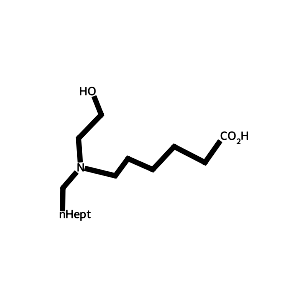 CCCCCCCCN(CCO)CCCCCC(=O)O